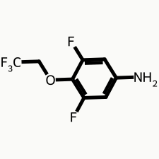 Nc1cc(F)c(OCC(F)(F)F)c(F)c1